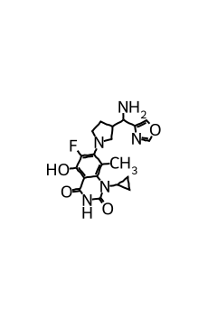 Cc1c(N2CCC(C(N)c3cocn3)C2)c(F)c(O)c2c(=O)[nH]c(=O)n(C3CC3)c12